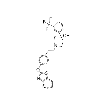 OC1(c2cccc(C(F)(F)F)c2)CCN(CCc2ccc(Oc3nc4ncccc4s3)cc2)CC1